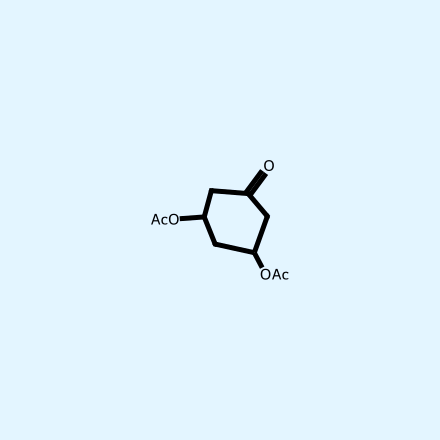 CC(=O)OC1CC(=O)CC(OC(C)=O)C1